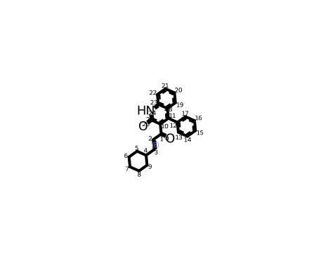 O=C(/C=C/C1CCCCC1)c1c(-c2ccccc2)c2ccccc2[nH]c1=O